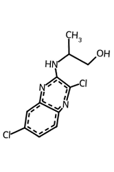 CC(CO)Nc1nc2cc(Cl)ccc2nc1Cl